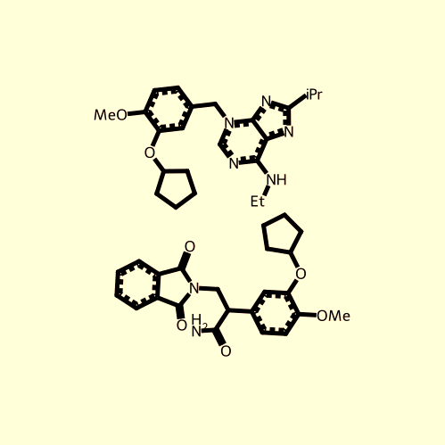 CCNc1ncn(Cc2ccc(OC)c(OC3CCCC3)c2)c2nc(C(C)C)nc1-2.COc1ccc(C(CN2C(=O)c3ccccc3C2=O)C(N)=O)cc1OC1CCCC1